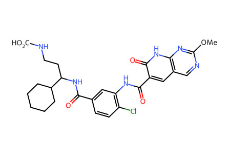 COc1ncc2cc(C(=O)Nc3cc(C(=O)NC(CCNC(=O)O)C4CCCCC4)ccc3Cl)c(=O)[nH]c2n1